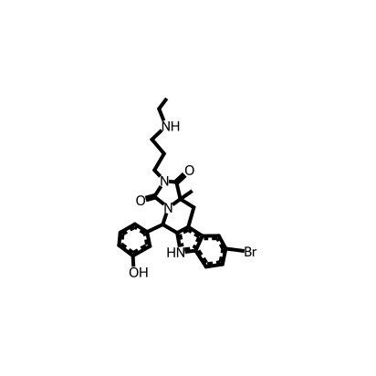 CCNCCCN1C(=O)N2C(c3cccc(O)c3)c3[nH]c4ccc(Br)cc4c3CC2(C)C1=O